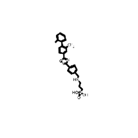 Cc1ccccc1-c1ccc(-c2nc(-c3ccc(CNCCCP(=O)(O)O)cc3)no2)cc1C(F)(F)F